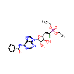 CCOP(=O)(OCC)/C(F)=C/C1OC(n2cnc3c(NC(=O)c4ccccc4)ncnc32)C(O)C1O